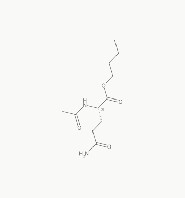 CCCCOC(=O)[C@H](CCC(N)=O)NC(C)=O